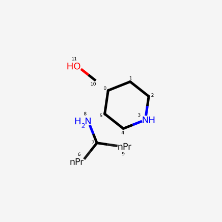 C1CCNCC1.CCCC(N)CCC.CO